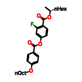 CCCCCCCCOc1ccc(C(=O)Oc2ccc(C(=O)O[C@H](C)CCCCCC)c(F)c2)cc1